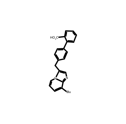 CCC(C)c1cccn2c(Cc3ccc(-c4ccccc4C(=O)O)cc3)cnc12